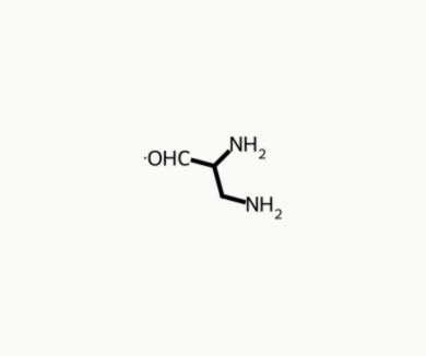 NCC(N)[C]=O